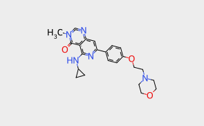 Cn1cnc2cc(-c3ccc(OCCN4CCOCC4)cc3)nc(NC3CC3)c2c1=O